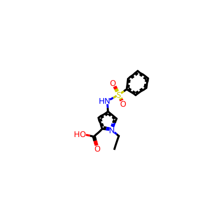 CCn1cc(NS(=O)(=O)c2ccccc2)cc1C(=O)O